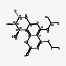 CCCc1cc(=O)oc2c3c(cc(OC(C)C)c12)O[C@@H](C)[C@H](C)[C@@H]3O